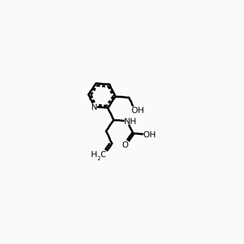 C=CCC(NC(=O)O)c1ncccc1CO